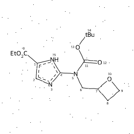 CCOC(=O)c1cnc(N(CC2CCO2)C(=O)OC(C)(C)C)[nH]1